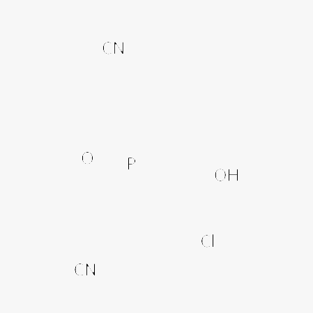 N#CCCP(=O)(CCC#N)C(O)(CCl)c1ccccc1